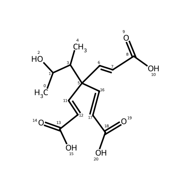 CC(O)C(C)C(C=CC(=O)O)(C=CC(=O)O)C=CC(=O)O